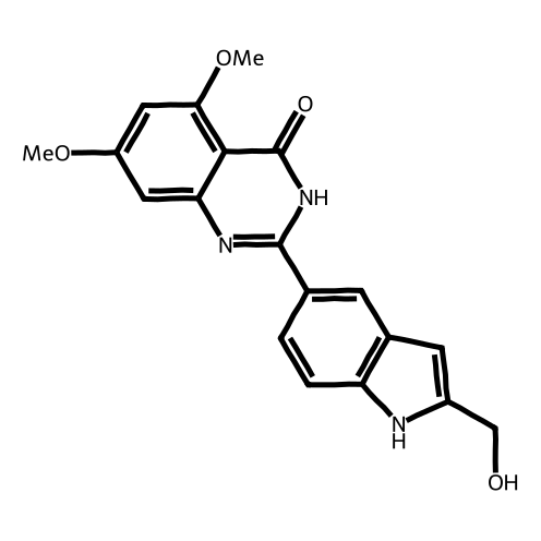 COc1cc(OC)c2c(=O)[nH]c(-c3ccc4[nH]c(CO)cc4c3)nc2c1